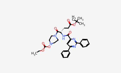 CCOC(=O)ON1CCN(C(=O)[C@H](CCC(=O)OC(C)(C)C)NC(=O)c2cc(-c3ccccc3)nc(-c3ccccc3)n2)CC1